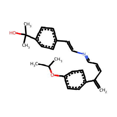 C=C(\C=C/C=N/C=C/c1ccc(C(C)(C)O)cc1)c1ccc(OC(C)C)cc1